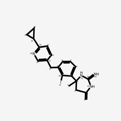 C=C1CC(C)(c2cccc(Cc3ccc(C4CC4)nc3)c2I)NC(=N)N1